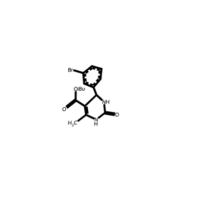 CC1=C(C(=O)OCC(C)C)C(c2cccc(Br)c2)NC(=O)N1